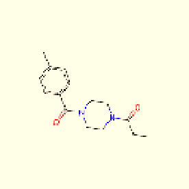 CCC(=O)N1CCN(C(=O)c2ccc(C)cc2)CC1